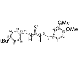 COc1ccc(CCNC(=S)NCc2ccc(C(C)(C)C)cc2)cc1OC